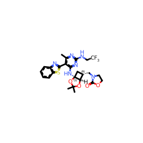 Cc1nc(NCC(F)(F)F)nc(N[C@]23C[C@H](CN4CCOC4=O)[C@H]2OC(C)(C)O3)c1-c1nc2ccccc2s1